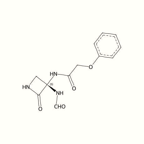 O=CN[C@]1(NC(=O)COc2ccccc2)CNC1=O